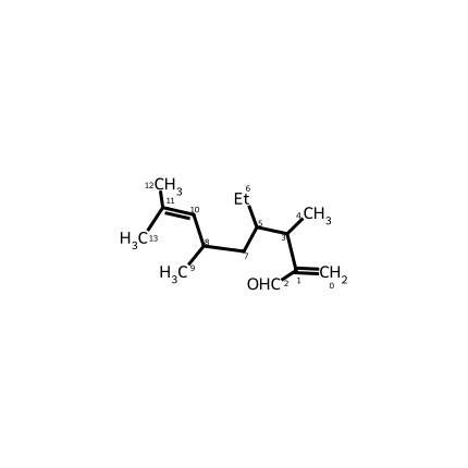 C=C(C=O)C(C)C(CC)CC(C)C=C(C)C